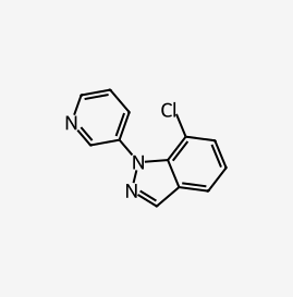 Clc1cccc2cnn(-c3cccnc3)c12